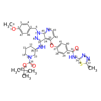 COc1ccc(Cn2nc(N[C@@H]3CCCN(C(=O)OC(C)(C)C)C3)c3c(Oc4ccc(C(=O)Nc5nnc(C)s5)cc4)ccnc32)cc1